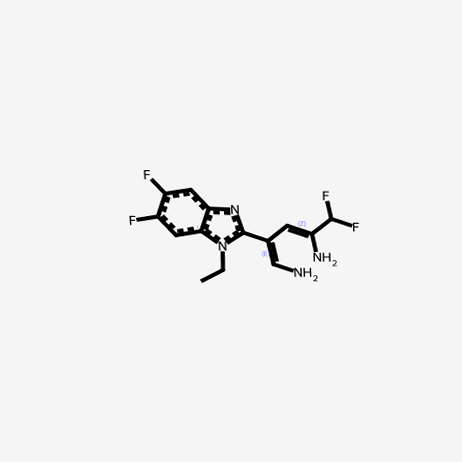 CCn1c(C(/C=C(\N)C(F)F)=C/N)nc2cc(F)c(F)cc21